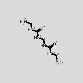 NCNC(=O)NCNC(=O)NCN